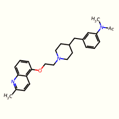 CC(=O)N(C)c1cccc(CC2CCN(CCOc3cccc4nc(C)ccc34)CC2)c1